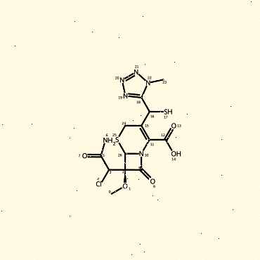 CO[C@]1(C(Cl)C(N)=O)C(=O)N2C(C(=O)O)=C(C(S)c3nnnn3C)CSC21